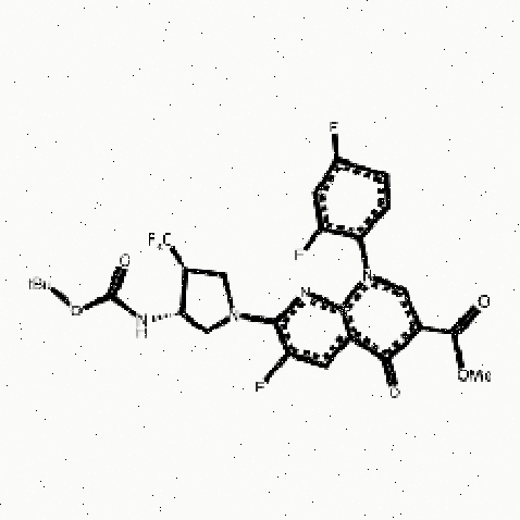 COC(=O)c1cn(-c2ccc(F)cc2F)c2nc(N3C[C@H](NC(=O)OC(C)(C)C)[C@@H](C(F)(F)F)C3)c(F)cc2c1=O